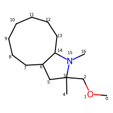 COCC1(C)CC2CCCCCCCC2N1C